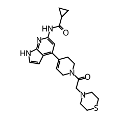 O=C(Nc1cc(C2=CCN(C(=O)CN3CCSCC3)CC2)c2cc[nH]c2n1)C1CC1